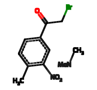 CNC.Cc1ccc(C(=O)CBr)cc1[N+](=O)[O-]